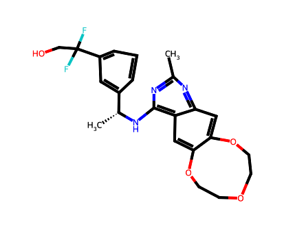 Cc1nc(N[C@H](C)c2cccc(C(F)(F)CO)c2)c2cc3c(cc2n1)OCCOCCO3